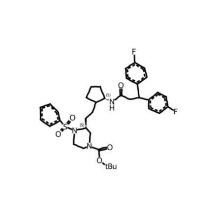 CC(C)(C)OC(=O)N1CCN(S(=O)(=O)c2ccccc2)[C@@H](CCC2CCC[C@@H]2NC(=O)CC(c2ccc(F)cc2)c2ccc(F)cc2)C1